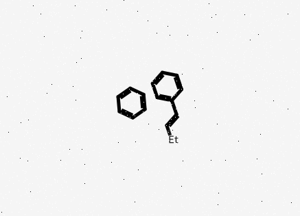 CC/C=C/c1ccccc1.c1ccccc1